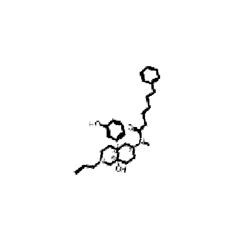 C=CCN1CC[C@@]2(c3cccc(O)c3)C[C@@H](N(C)C(=O)CCCCCc3ccccc3)CC[C@]2(O)C1